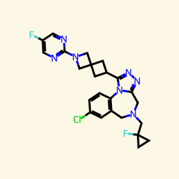 Fc1cnc(N2CC3(CC(c4nnc5n4-c4ccc(Cl)cc4CN(CC4(F)CC4)C5)C3)C2)nc1